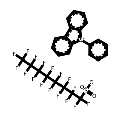 O=S(=O)([O-])C(F)(F)C(F)(F)C(F)(F)C(F)(F)C(F)(F)C(F)(F)C(F)(F)C(F)(F)F.c1ccc(-[s+]2c3ccccc3c3ccccc32)cc1